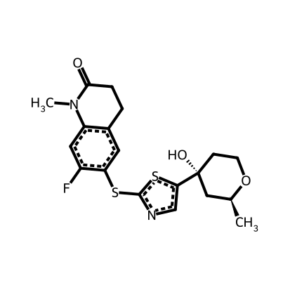 C[C@H]1C[C@@](O)(c2cnc(Sc3cc4c(cc3F)N(C)C(=O)CC4)s2)CCO1